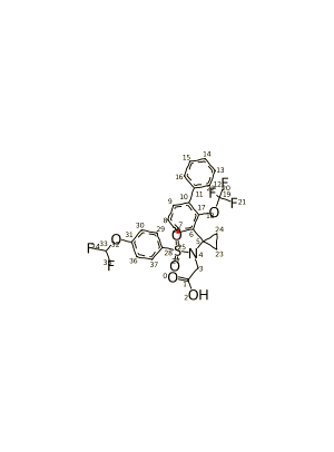 O=C(O)CN(C1(c2cccc(-c3ccccc3)c2OC(F)(F)F)CC1)S(=O)(=O)c1ccc(OC(F)F)cc1